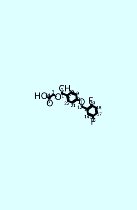 CC(OCC(=O)O)c1ccc(OCc2cc(F)ccc2F)cc1